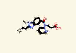 CCCc1nc2cc(C(=O)N(CCC(=O)O)c3ccccn3)ccc2n1C